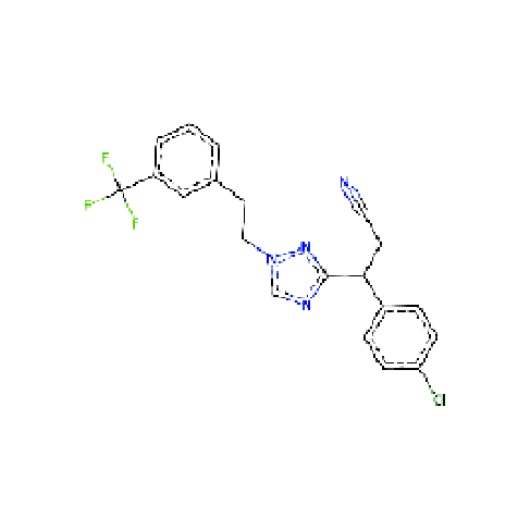 N#CCC(c1ccc(Cl)cc1)c1ncn(CCc2cccc(C(F)(F)F)c2)n1